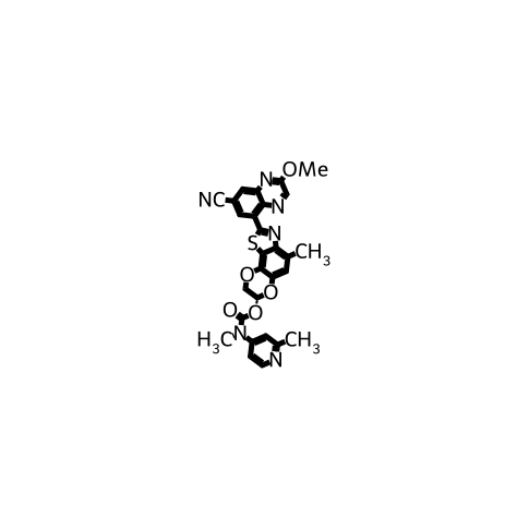 COc1cnc2c(-c3nc4c(C)cc5c(c4s3)OC[C@@H](OC(=O)N(C)c3ccnc(C)c3)O5)cc(C#N)cc2n1